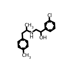 Cc1ccc(CC(C)NCC(O)c2cccc(Cl)c2)cc1